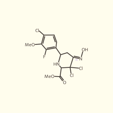 COC(=O)C1NC(c2ccc(Cl)c(OC)c2F)C/C(=N\O)C1(Cl)Cl